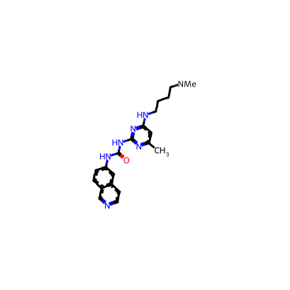 CNCCCCNc1cc(C)nc(NC(=O)Nc2ccc3cnccc3c2)n1